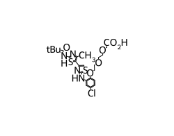 Cc1nc(NC(=O)C(C)(C)C)sc1-c1csc(Nc2cc(Cl)ccc2OCCOCCOCC(=O)O)n1